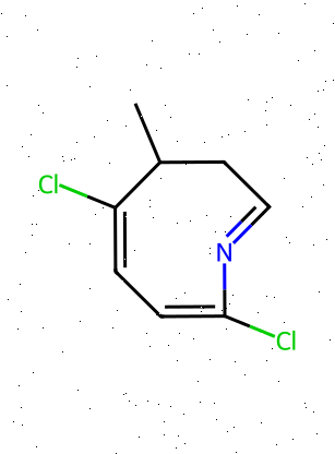 CC1C/C=N/C(Cl)=C\C=C/1Cl